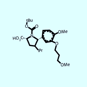 COCCCOc1cc([C@@H]2C(C(C)C)C[C@H](C(=O)O)N2C(=O)OC(C)(C)C)ccc1OC